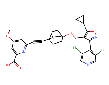 COc1cc(C#CC23CCC(OCc4c(-c5c(Cl)cncc5Cl)noc4C4CC4)(CC2)CC3)nc(C(=O)O)c1